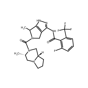 CC1c2[nH]nc(NC(=O)c3c(F)cccc3C(F)(F)F)c2CN1C(=O)N1C[C@@H]2CCCN2C[C@@H]1C